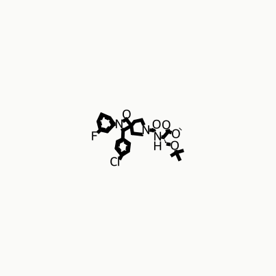 COC(=O)[C@H](COC(C)(C)C)NC(=O)N1CCC2(CC1)C(=O)N(c1cccc(F)c1)C2c1ccc(Cl)cc1